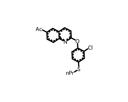 CCCSc1ccc(Oc2ccc3cc(C(C)=O)ccc3n2)c(Cl)c1